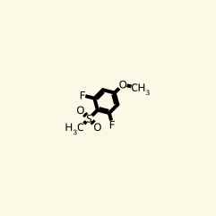 COc1cc(F)c(S(C)(=O)=O)c(F)c1